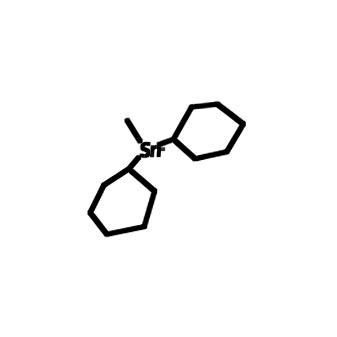 [CH3][Sn]([CH]1CCCCC1)[CH]1CCCCC1